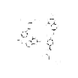 CN(Cc1cnc2nc(N)nc(O)c2n1)c1ccc(C(=O)N[C@@H](CCC(=O)O)C(=O)O)cc1.Nc1nc(N)c2nc(CNc3ccc(C(=O)NC(CCC(=O)O)C(=O)O)cc3)cnc2n1